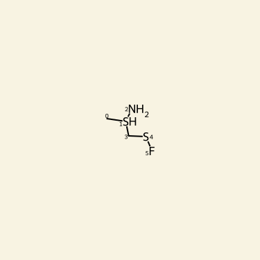 C[SH](N)CSF